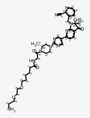 C[C@@H]1CN(c2ncc(-c3ccc4c(n3)N(Cc3cccnc3C#N)C(C)(C)C4=O)cn2)CCN1C(=O)CNC(=O)CCCCCOCCOCCN